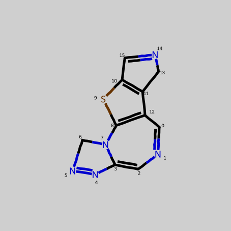 C1=NC=C2N=NCN2c2sc3c(c21)CN=C3